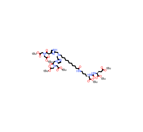 CC(C)(C)OC(=O)CC[C@H](NC(=O)N[C@@H](CCCCNC(=O)CCCCCCCCCCN(Cc1nc(CC(=O)N(CC(=O)OC(C)(C)C)CC(=O)OC(C)(C)C)c[nH]1)Cc1nccn1CC(=O)N(CC(=O)OC(C)(C)C)CC(=O)OC(C)(C)C)C(=O)OC(C)(C)C)C(=O)OC(C)(C)C